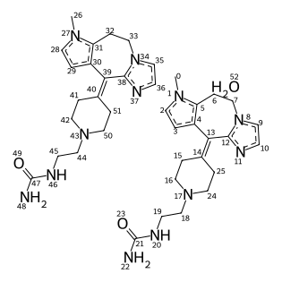 Cn1ccc2c1CCn1ccnc1C2=C1CCN(CCNC(N)=O)CC1.Cn1ccc2c1CCn1ccnc1C2=C1CCN(CCNC(N)=O)CC1.O